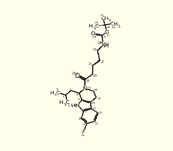 CC(C)CC1c2[nH]c3cc(F)ccc3c2CCN1C(=O)CCCCNC(=O)OC(C)(C)C